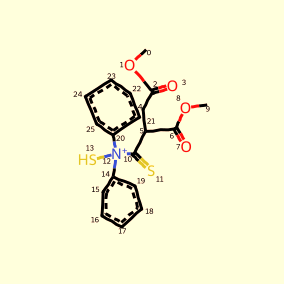 COC(=O)CC(C(=O)OC)C(=S)[N+](S)(c1ccccc1)c1ccccc1